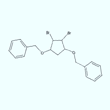 BrC1C(OCc2ccccc2)CC(OCc2ccccc2)C1Br